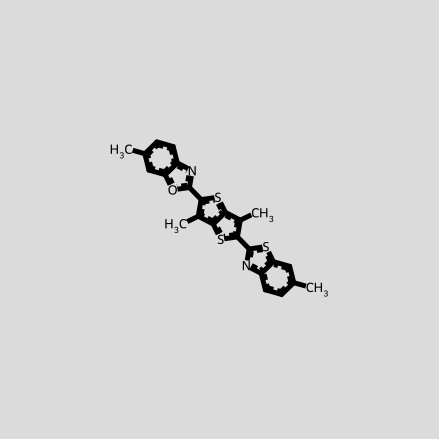 Cc1ccc2nc(-c3sc4c(C)c(-c5nc6ccc(C)cc6s5)sc4c3C)oc2c1